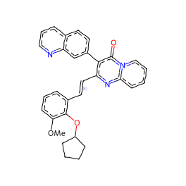 COc1cccc(/C=C/c2nc3ccccn3c(=O)c2-c2ccc3cccnc3c2)c1OC1CCCC1